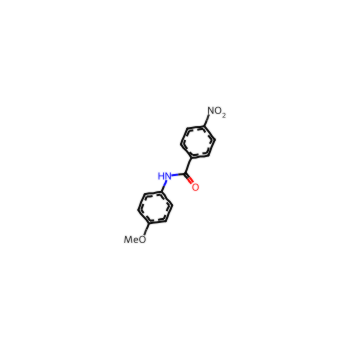 COc1ccc(NC(=O)c2ccc([N+](=O)[O-])cc2)cc1